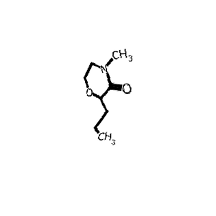 CCCC1OCCN(C)C1=O